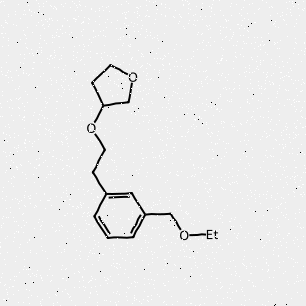 CCOCc1cccc(CCOC2CCOC2)c1